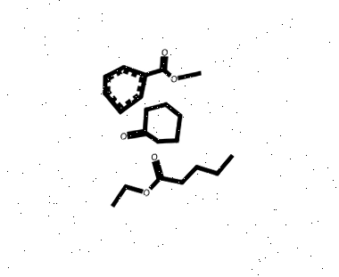 CCCCC(=O)OCC.COC(=O)c1ccccc1.O=C1CCCCC1